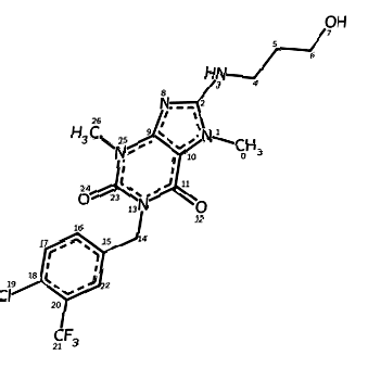 Cn1c(NCCCO)nc2c1c(=O)n(Cc1ccc(Cl)c(C(F)(F)F)c1)c(=O)n2C